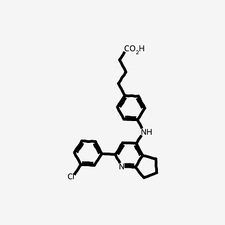 O=C(O)CCCc1ccc(Nc2cc(-c3cccc(Cl)c3)nc3c2CCC3)cc1